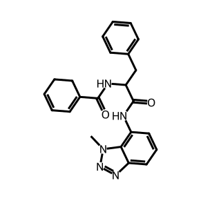 Cn1nnc2cccc(NC(=O)C(Cc3ccccc3)NC(=O)C3=CC=CCC3)c21